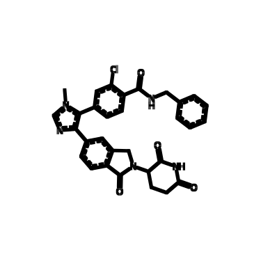 Cn1cnc(-c2ccc3c(c2)CN(C2CCC(=O)NC2=O)C3=O)c1-c1ccc(C(=O)NCc2ccccc2)c(Cl)c1